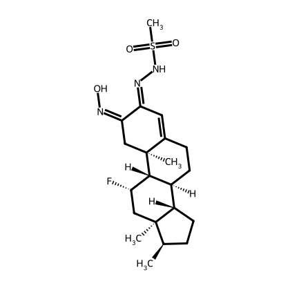 C[C@@H]1CC[C@H]2[C@@H]3CCC4=CC(=N\NS(C)(=O)=O)/C(=N\O)C[C@]4(C)[C@H]3[C@@H](F)C[C@]12C